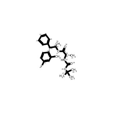 Cc1cc(F)ccc1[C@H](c1ccccc1)[C@H](C)OC(=O)[C@H](C)NC(=O)OC(C)(C)C